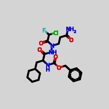 NC(=O)CCN(NC(=O)C(CC1CCCCC1)NC(=O)OCc1ccccc1)C(=O)C(F)Cl